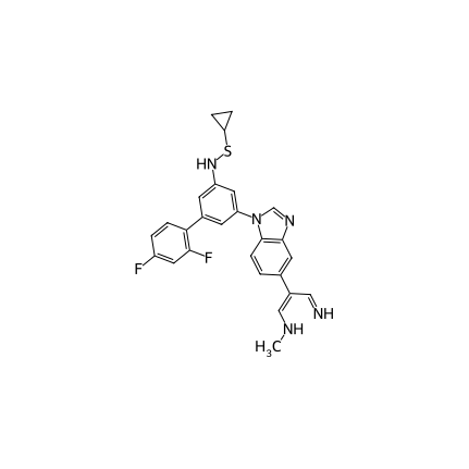 CN/C=C(\C=N)c1ccc2c(c1)ncn2-c1cc(NSC2CC2)cc(-c2ccc(F)cc2F)c1